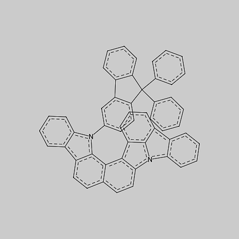 c1ccc(C2(c3ccccc3)c3ccccc3-c3cc(-n4c5ccccc5c5ccc6ccc7c(c8cccc9c%10ccccc%10n7c98)c6c54)ccc32)cc1